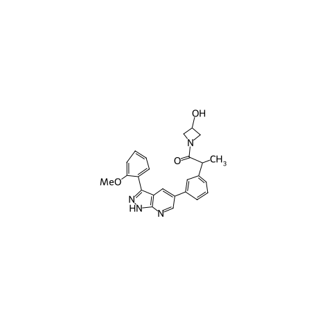 COc1ccccc1-c1n[nH]c2ncc(-c3cccc(C(C)C(=O)N4CC(O)C4)c3)cc12